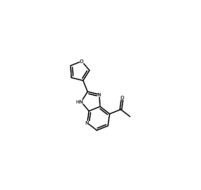 CC(=O)c1ccnc2[nH]c(-c3ccoc3)nc12